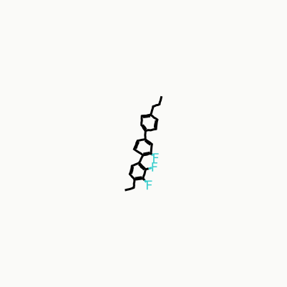 CCCc1ccc(-c2ccc(-c3ccc(CC)c(F)c3F)c(F)c2)cc1